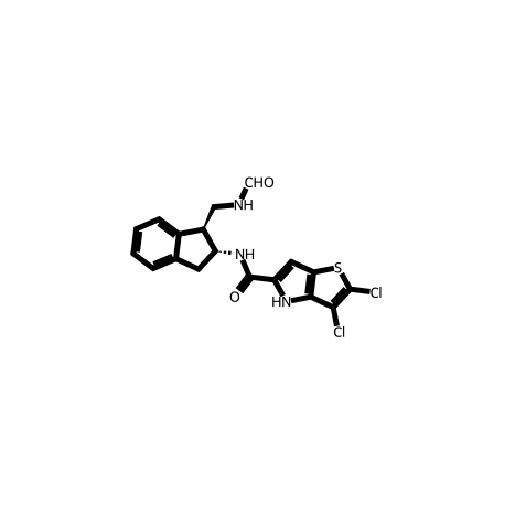 O=CNC[C@@H]1c2ccccc2C[C@H]1NC(=O)c1cc2sc(Cl)c(Cl)c2[nH]1